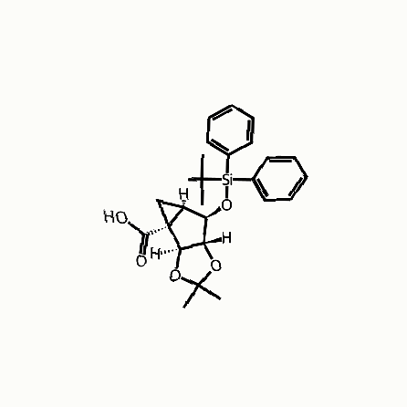 CC1(C)O[C@H]2[C@H](O[Si](c3ccccc3)(c3ccccc3)C(C)(C)C)[C@@H]3C[C@]3(C(=O)O)[C@@H]2O1